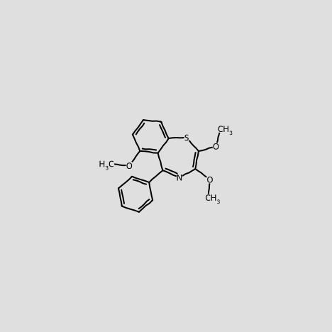 COC1=C(OC)Sc2cccc(OC)c2C(c2ccccc2)=N1